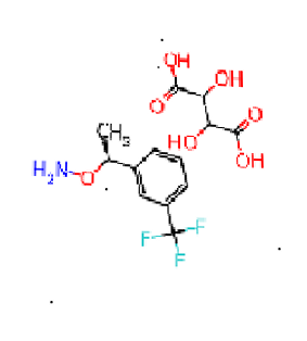 C[C@H](ON)c1cccc(C(F)(F)F)c1.O=C(O)C(O)C(O)C(=O)O